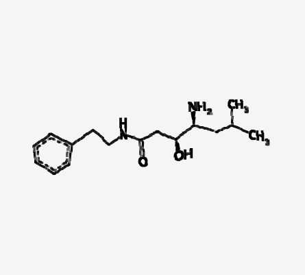 CC(C)C[C@H](N)[C@@H](O)CC(=O)NCCc1ccccc1